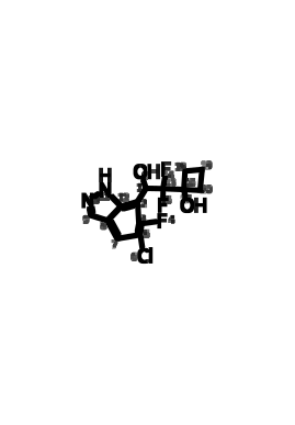 OC(c1c(F)c(Cl)cc2cn[nH]c12)C(F)(F)C1(O)CCC1